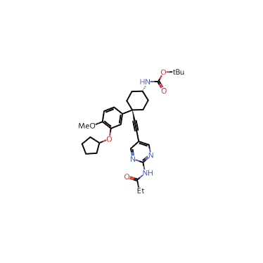 CCC(=O)Nc1ncc(C#C[C@]2(c3ccc(OC)c(OC4CCCC4)c3)CC[C@@H](NC(=O)OC(C)(C)C)CC2)cn1